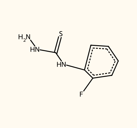 NNC(=S)Nc1ccccc1F